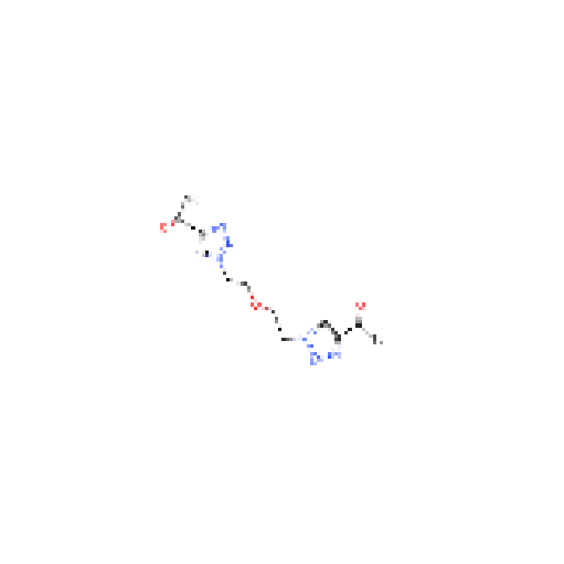 CCC(=O)c1cn(CCOCCn2cc(C(=O)C(C)(C)C)nn2)nn1